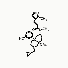 CC(=O)O[C@]12CC[C@@H](N(C)C(=O)/C=C/c3ccoc3C)C[C@]1(c1cccc(O)c1)CCN(CC1CC1)C2